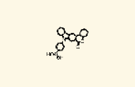 O=c1oc2ccccc2c2cc3c4ccccc4n(-c4ccc(B(O)O)cc4)c3cc12